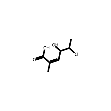 CC(=CC(O)C(C)Cl)C(=O)O